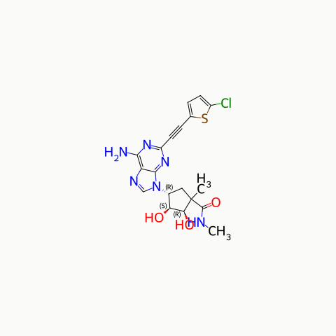 CNC(=O)C1(C)C[C@@H](n2cnc3c(N)nc(C#Cc4ccc(Cl)s4)nc32)[C@H](O)[C@@H]1O